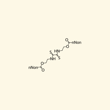 CCCCCCCCCC(=O)OCCNC(=S)C(=S)NCCOC(=O)CCCCCCCCC